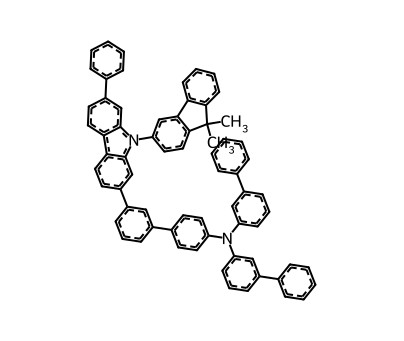 CC1(C)c2ccccc2-c2cc(-n3c4cc(-c5ccccc5)ccc4c4ccc(-c5cccc(-c6ccc(N(c7cccc(-c8ccccc8)c7)c7cccc(-c8ccccc8)c7)cc6)c5)cc43)ccc21